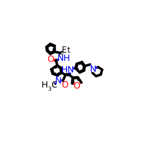 CC[C@@H](NC(=O)c1ccc2c(c1)C(=C(Nc1ccc(CN3CCCCC3)cc1)c1ccoc1)C(=O)N2C)c1ccccc1